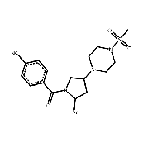 CC(=O)C1CC(N2CCN(S(C)(=O)=O)CC2)CN1C(=O)c1ccc(C#N)cc1